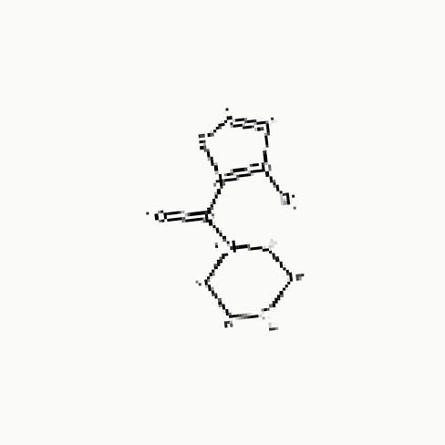 O=C(c1sccc1Br)N1CCOCC1